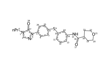 CCCn1cnn(-c2ccc(Sc3cccc(NC(=O)C4CCOCC4)c3)cc2)c1=O